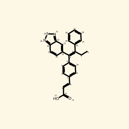 CCC(=C(c1ccc(C=CC(=O)O)cc1)c1ccc2nsnc2c1)c1ccccc1